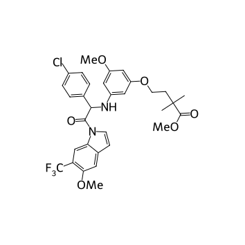 COC(=O)C(C)(C)CCOc1cc(NC(C(=O)n2ccc3cc(OC)c(C(F)(F)F)cc32)c2ccc(Cl)cc2)cc(OC)c1